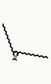 CCCCCCCCCCCCCCc1cc(CCCCCCCCCCCCCC)c[n+](C(C)C)c1